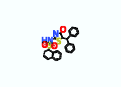 O=C1N=C(NS(=O)(=O)C2CC=Cc3ccccc32)SC1C(c1ccccc1)c1ccccc1